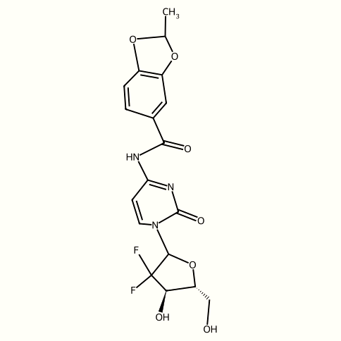 CC1Oc2ccc(C(=O)Nc3ccn(C4O[C@H](CO)[C@@H](O)C4(F)F)c(=O)n3)cc2O1